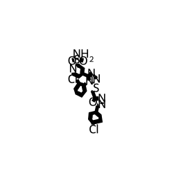 NS(=O)(=O)c1cc(-c2nnc(SCc3nnc(-c4ccc(Cl)cc4)o3)n2-c2ccccc2Cl)ccn1